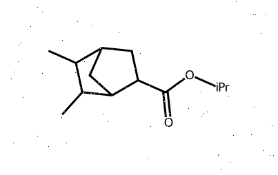 CC(C)OC(=O)C1CC2CC1C(C)C2C